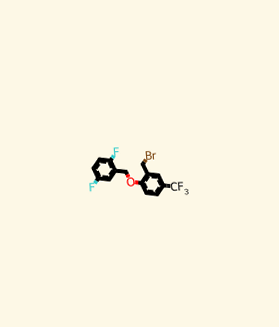 Fc1ccc(F)c(COc2ccc(C(F)(F)F)cc2CBr)c1